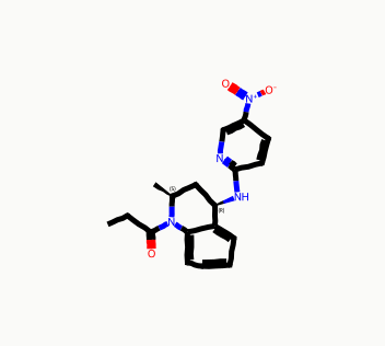 CCC(=O)N1c2ccccc2[C@H](Nc2ccc([N+](=O)[O-])cn2)C[C@@H]1C